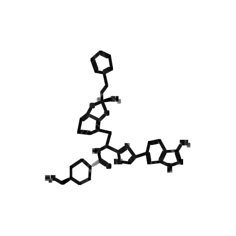 C[C@]1(CCc2ccccc2)Oc2cccc(CC(NC(=O)[C@H]3CC[C@H](CN)CC3)c3nc(-c4ccc5c(N)n[nH]c5c4)c[nH]3)c2O1